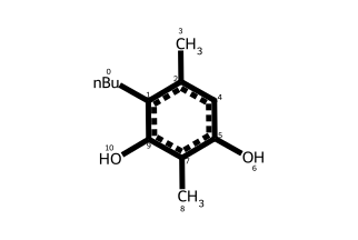 CCCCc1c(C)cc(O)c(C)c1O